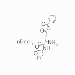 CCCCCCCCCCCCOC(=O)C(CC(C)C)NC(=O)C(N)CCC(=O)OC(=O)c1ccccc1